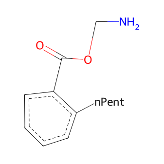 CCCCCc1ccccc1C(=O)OCN